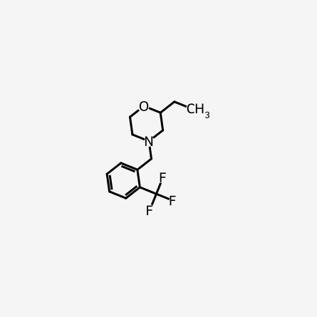 CCC1CN(Cc2ccccc2C(F)(F)F)CCO1